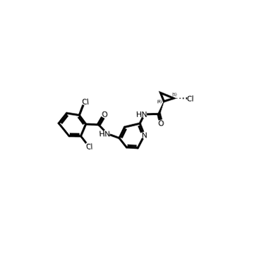 O=C(Nc1ccnc(NC(=O)[C@H]2C[C@@H]2Cl)c1)c1c(Cl)cccc1Cl